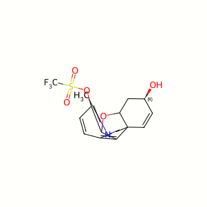 CN1CCC23C=C[C@H](O)CC2Oc2c(OS(=O)(=O)C(F)(F)F)ccc(c23)C1